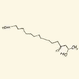 CCCCCCCCCCCCCCCCCCCCCC(=O)CC(C)O